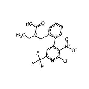 CCN(Cc1ccccc1-c1cc(C(F)(F)F)nc(Cl)c1[N+](=O)[O-])C(=O)O